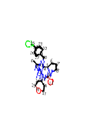 Cc1nnc([C@H]2CCCN2C(=O)NC2CCOCC2)n1Cc1ccc(Cl)cc1